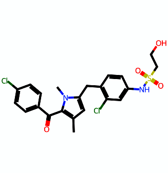 Cc1cc(Cc2ccc(NS(=O)(=O)CCO)cc2Cl)n(C)c1C(=O)c1ccc(Cl)cc1